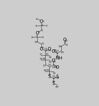 COC(C)(C)COC(C)(C)CCOC(=O)C(C)(C)C(C)(C)CC(C(=O)ONC(=O)CCC=O)C(C)(C)SC(=S)SC